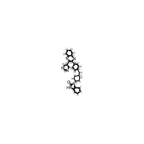 O=c1[nH]c2ccccc2n1C1CCC(Cc2ccc(-c3nc4ccccc4nc3-c3cncnc3)cc2)CC1